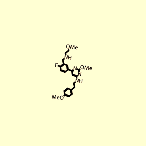 COCCNCc1cc(-c2cc(NCCc3ccc(OC)cc3)nc(OC)n2)ccc1F